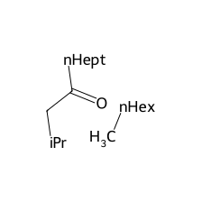 CCCCCCC.CCCCCCCC(=O)CC(C)C